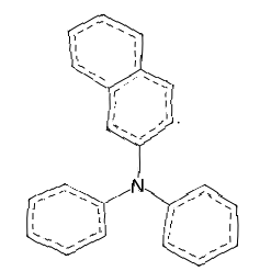 [c]1cc2ccccc2cc1N(c1ccccc1)c1ccccc1